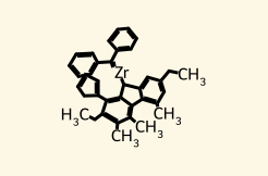 CCc1cc(C)c2c(c1)[CH]([Zr]=[C](c1ccccc1)c1ccccc1)c1c(C3=CC=CC3)c(CC)c(C)c(C)c1-2